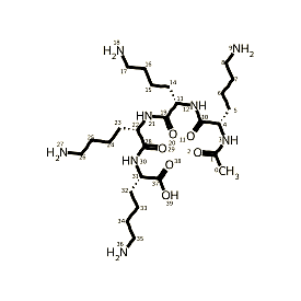 CC(=O)N[C@@H](CCCCN)C(=O)N[C@@H](CCCCN)C(=O)N[C@@H](CCCCN)C(=O)N[C@@H](CCCCN)C(=O)O